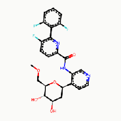 COC[C@H]1O[C@@H](c2ccncc2NC(=O)c2ccc(F)c(-c3c(F)cccc3F)n2)C[C@@H](O)[C@@H]1O